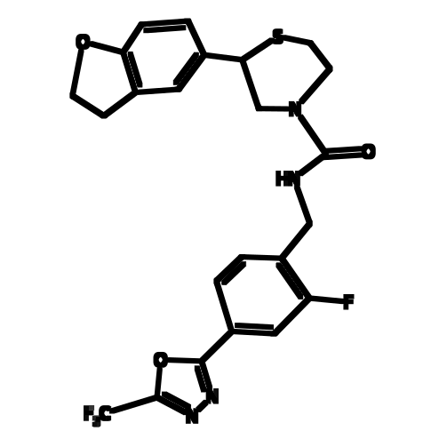 O=C(NCc1ccc(-c2nnc(C(F)(F)F)o2)cc1F)N1CCSC(c2ccc3c(c2)CCO3)C1